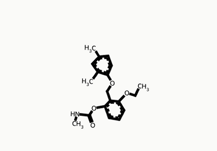 CCOc1cccc(OC(=O)NC)c1COc1ccc(C)cc1C